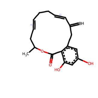 B=C1/C=C/CC/C=C/CC(C)OC(=O)c2c(O)cc(O)cc2C1